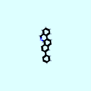 c1ccc(-c2ccc3c(ccc4c5ccccc5cnc34)c2)cc1